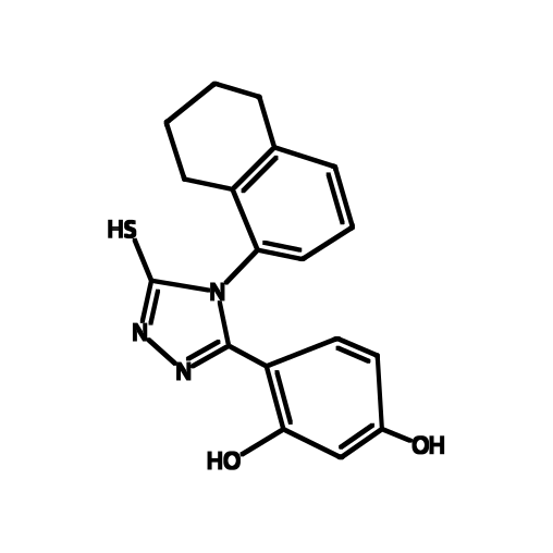 Oc1ccc(-c2nnc(S)n2-c2cccc3c2CCCC3)c(O)c1